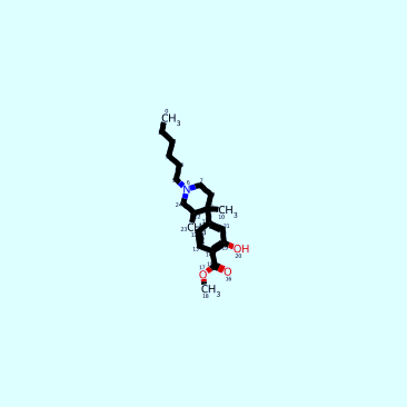 CCCCCCN1CCC(C)(c2ccc(C(=O)OC)c(O)c2)C(C)C1